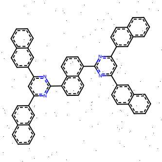 c1ccc2cc(-c3cc(-c4ccc5ccccc5c4)nc(-c4cccc5c(-c6nc(-c7ccc8ccccc8c7)cc(-c7ccc8ccccc8c7)n6)cccc45)n3)ccc2c1